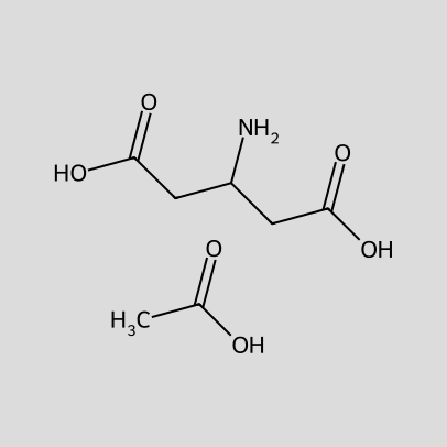 CC(=O)O.NC(CC(=O)O)CC(=O)O